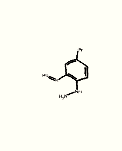 CC(C)c1ccc(NN)c(N=N)c1